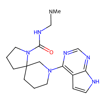 CNCNC(=O)N1CCCC12CCCN(c1ncnc3[nH]ccc13)C2